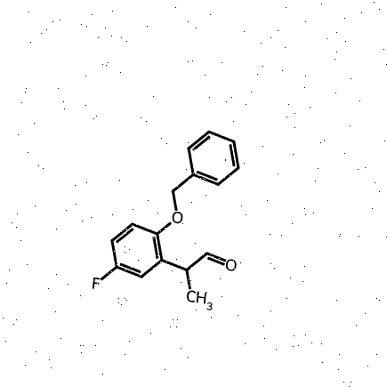 CC(C=O)c1cc(F)ccc1OCc1ccccc1